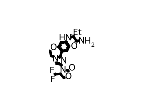 CC[C@H](Nc1ccc2c(c1)OCCn1cc(N3C(=O)OCC3C(F)F)nc1-2)C(N)=O